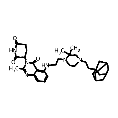 Cc1nc2cccc(NCCN3CCN(CCC45CC6CC(CC(C6)C4)C5)CC3(C)C)c2c(=O)n1C1CCC(=O)NC1=O